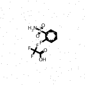 NS(=O)(=O)c1ccccc1F.O=C(O)C(F)(F)F